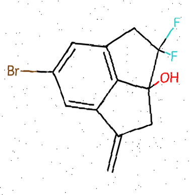 C=C1CC2(O)c3c(cc(Br)cc31)CC2(F)F